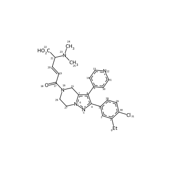 CCc1cc(-c2nn3c(c2-c2ccncc2)CN(C(=O)/C=C/C(C(=O)O)N(C)C)CC3)ccc1Cl